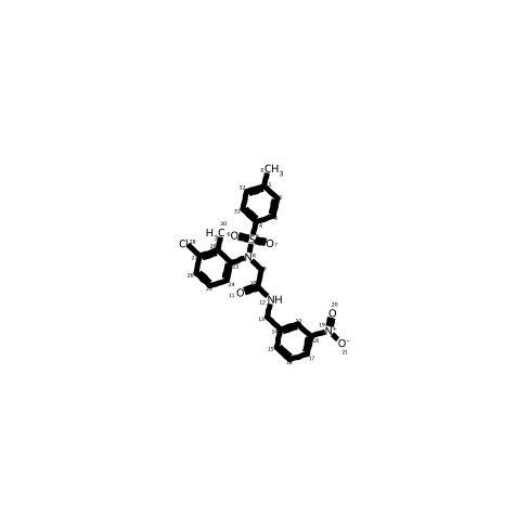 Cc1ccc(S(=O)(=O)N(CC(=O)NCc2cccc([N+](=O)[O-])c2)c2cccc(Cl)c2C)cc1